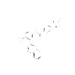 O=C(Nc1ccc(Cl)c(-c2cnc3ccccc3n2)c1)c1ccc(S(=O)(=O)C(F)(F)F)cc1